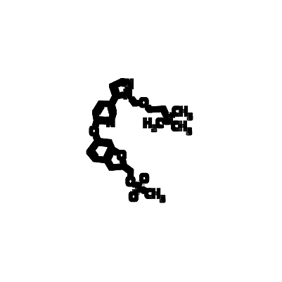 C[Si](C)(C)CCOCn1nccc1-c1ccc(Oc2ccc3c(c2)OC(COS(C)(=O)=O)C3)nc1